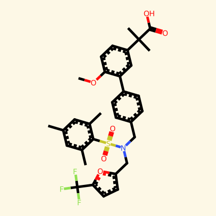 COc1ccc(C(C)(C)C(=O)O)cc1-c1ccc(CN(Cc2ccc(C(F)(F)F)o2)S(=O)(=O)c2c(C)cc(C)cc2C)cc1